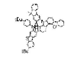 CC(C)(C)c1ccc(Nc2cc3sc4cc(C(C)(C)C)ccc4c3cc2-c2ccc3c4c5oc6ccccc6c5ccc4n4c3c2Bc2cc3c(cc2-4)-c2ccccc2C3(C)C)cc1